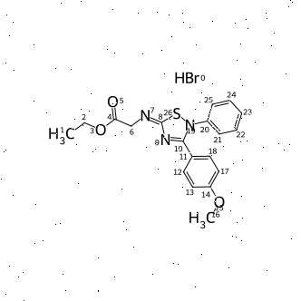 Br.CCOC(=O)C/N=c1\nc(-c2ccc(OC)cc2)n(-c2ccccc2)s1